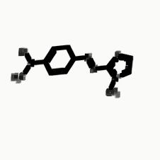 CCN(C)C1=CCC(N=Nc2scc[n+]2C)C=C1